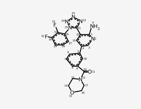 Nc1ncc(-c2cccc(C(=O)N3CCOCC3)c2)cc1-c1nnnn1-c1cccc(F)c1F